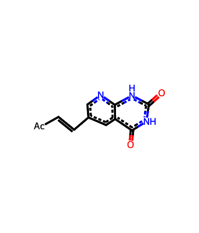 CC(=O)/C=C/c1cnc2[nH]c(=O)[nH]c(=O)c2c1